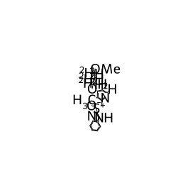 [2H]c1nc(C[S+]([O-])c2nc3ccccc3[nH]2)c(C)c(OC([2H])([2H])C([2H])([2H])C([2H])([2H])OC)c1[2H]